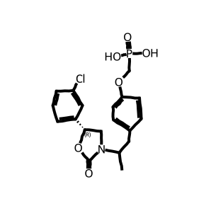 CC(Cc1ccc(OCP(=O)(O)O)cc1)N1C[C@@H](c2cccc(Cl)c2)OC1=O